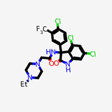 CCN1CCN(CC(=O)NC2(c3ccc(Cl)c(C(F)(F)F)c3)C(=O)Nc3cc(Cl)cc(Cl)c32)CC1